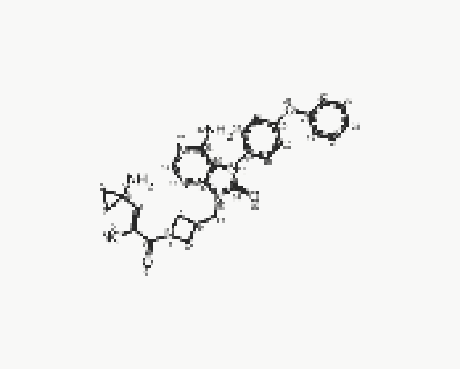 N#CC(=CC1(N)CC1)C(=O)N1CC(Cn2c(=O)n(-c3ccc(Oc4ccccc4)cc3)c3c(N)ncnc32)C1